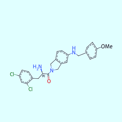 COc1ccc(CNc2ccc3c(c2)CN(C(=O)[C@H](N)Cc2ccc(Cl)cc2Cl)C3)cc1